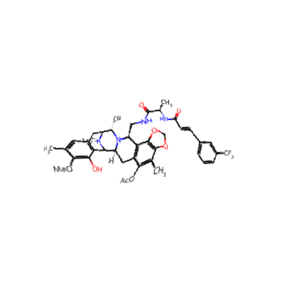 COc1c(C)cc2c(c1O)C1[C@@H]3Cc4c(OC(C)=O)c(C)c5c(c4[C@H](CNC(=O)[C@@H](C)NC(=O)/C=C/c4cccc(C(F)(F)F)c4)N3[C@@H](C#N)C(C2)N1C)OCO5